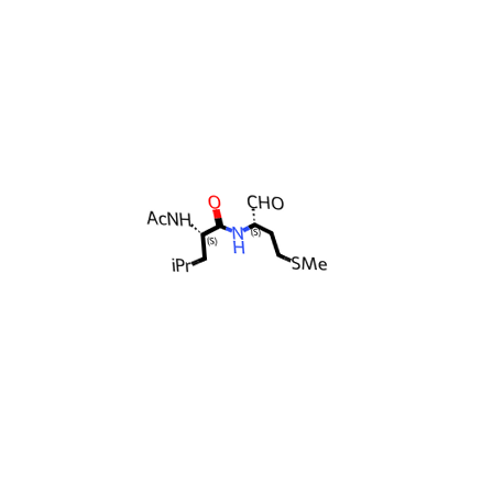 CSCC[C@@H](C=O)NC(=O)[C@H](CC(C)C)NC(C)=O